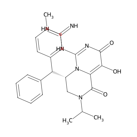 CNC(=N)Nc1nc(=O)c(O)c2n1[C@@H](C(c1ccccc1)c1ccccc1)CN(C(C)C)C2=O